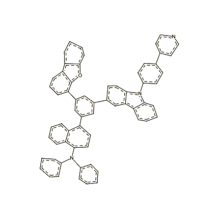 c1ccc(N(c2ccccc2)c2ccc(-c3cc(-c4ccc5c(c4)c4ccccc4n5-c4ccc(-c5ccncc5)cc4)cc(-c4cccc5c4oc4ccccc45)c3)c3ccccc23)cc1